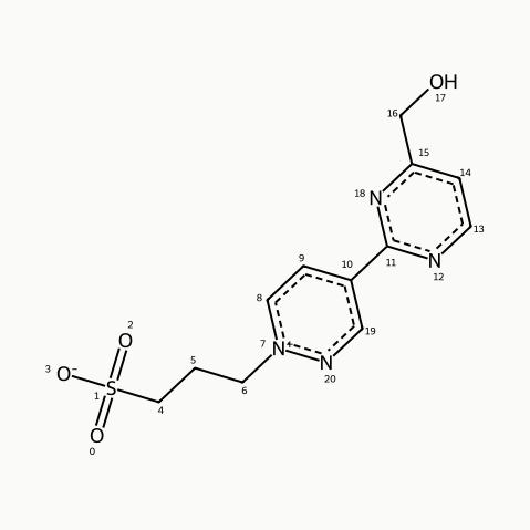 O=S(=O)([O-])CCC[n+]1ccc(-c2nccc(CO)n2)cn1